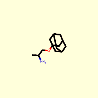 CC(N)COC12CC3CC(CC(C3)C1)C2